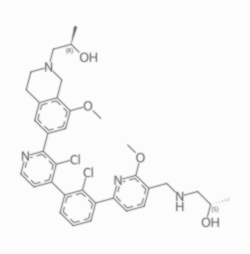 COc1cc(-c2nccc(-c3cccc(-c4ccc(CNC[C@H](C)O)c(OC)n4)c3Cl)c2Cl)cc2c1CN(C[C@@H](C)O)CC2